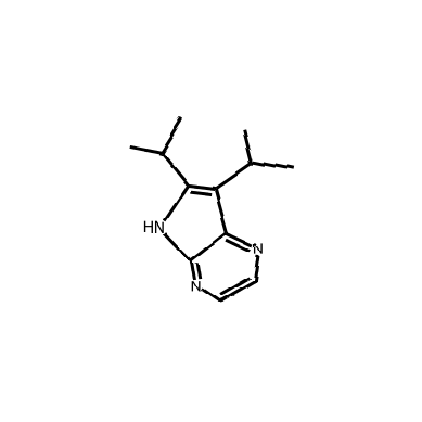 CC(C)c1[nH]c2nccnc2c1C(C)C